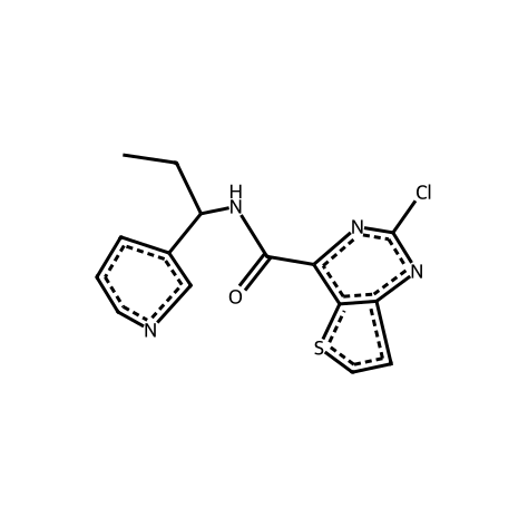 CCC(NC(=O)c1nc(Cl)nc2ccsc12)c1cccnc1